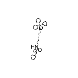 O=C(NCCCCCCCCOC(c1ccccc1)(c1ccccc1)c1ccccc1)OCc1ccccc1